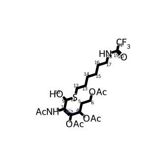 CC(=O)N/C(=C(\OC(C)=O)C(CCOC(C)=O)OC(C)=O)C(O)SCCCCCCNC(=O)C(F)(F)F